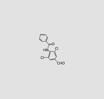 O=Cc1cc(Cl)c(NC(=O)c2ccccc2)c(Cl)c1